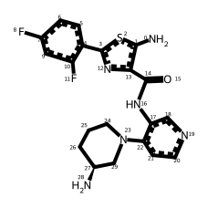 Nc1sc(-c2ccc(F)cc2F)nc1C(=O)Nc1cnccc1N1CCC[C@H](N)C1